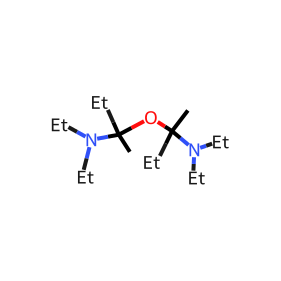 CCN(CC)C(C)(CC)OC(C)(CC)N(CC)CC